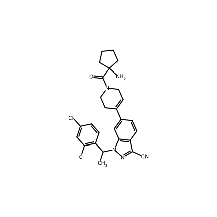 CC(c1ccc(Cl)cc1Cl)n1nc(C#N)c2ccc(C3=CCN(C(=O)C4(N)CCCC4)CC3)cc21